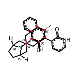 C[C@@H]1C[C@@H]2C[C@H](C1)C[C@H](N1[C@@H]3CC[C@H]1C[C@H](n1c(=O)c(-c4ccc[nH]c4=O)nc4ccccc41)C3)C2